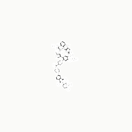 COc1cc(N2CCC(C(=O)N3CCN(c4ccc5c(c4)C(=O)N(C4CCC(=O)NC4=O)C5=O)CC3)CC2)c(-c2cnn(C)c2)cc1Nc1ncc(Br)c(Nc2ccccc2P(C)(C)=O)n1